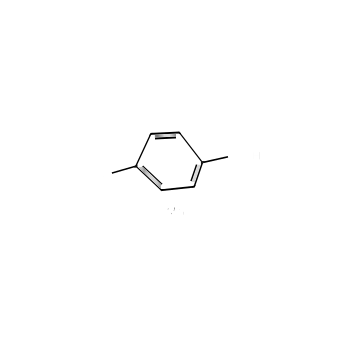 Cc1ccc(S(=O)(=O)O)cc1.[Mn]